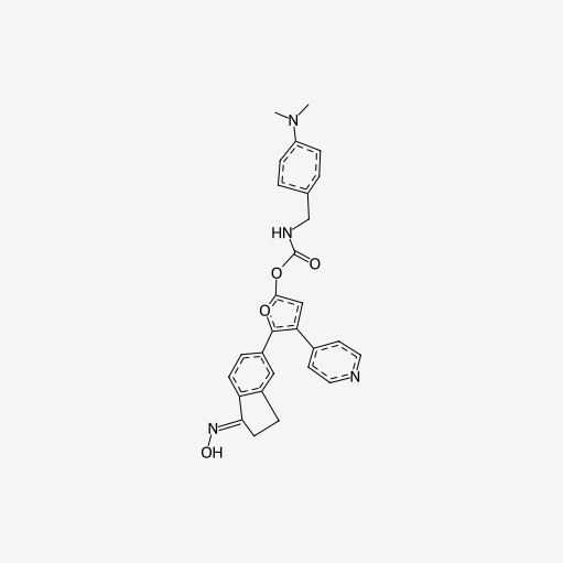 CN(C)c1ccc(CNC(=O)Oc2cc(-c3ccncc3)c(-c3ccc4c(c3)CCC4=NO)o2)cc1